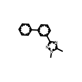 Cc1nc(-c2cccc(-c3ccccc3)c2)nn1C